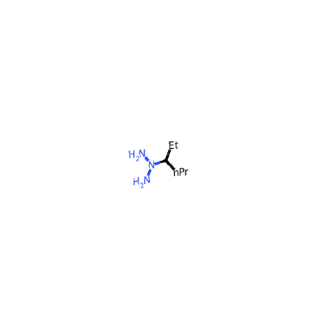 CCCC(CC)N(N)N